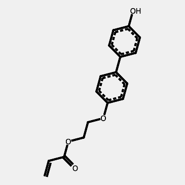 C=CC(=O)OCCOc1ccc(-c2ccc(O)cc2)cc1